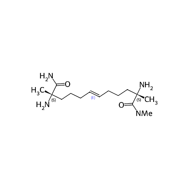 CNC(=O)[C@@](C)(N)CCC/C=C/CCC[C@](C)(N)C(N)=O